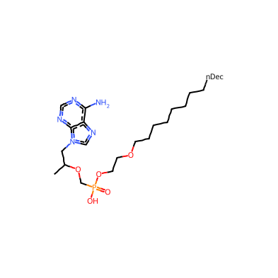 CCCCCCCCCCCCCCCCCCOCCOP(=O)(O)COC(C)Cn1cnc2c(N)ncnc21